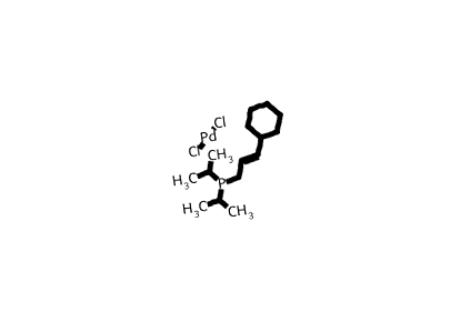 CC(C)P(CC=CC1CCCCC1)C(C)C.[Cl][Pd][Cl]